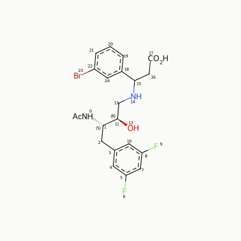 CC(=O)N[C@@H](Cc1cc(F)cc(F)c1)[C@H](O)CNC(CC(=O)O)c1cccc(Br)c1